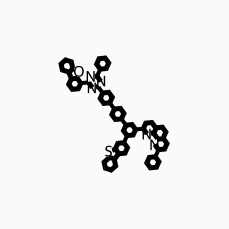 c1ccc(-c2ccc3ccc4ccc(-c5cc(-c6ccc(-c7ccc(-c8nc(-c9ccccc9)nc(-c9cccc%10c9oc9ccccc9%10)n8)cc7)cc6)cc(-c6ccc7c(c6)sc6ccccc67)c5)nc4c3n2)cc1